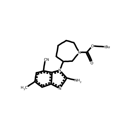 Cc1cc(C#N)c2c(c1)nc(N)n2C1CCCCN(C(=O)OC(C)(C)C)C1